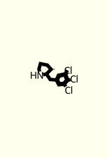 Clc1cc(CC2[CH]CCCN2)cc(Cl)c1Cl